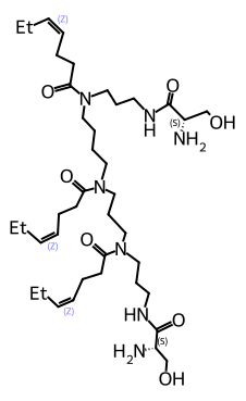 CC/C=C\CCC(=O)N(CCCCN(CCCN(CCCNC(=O)[C@@H](N)CO)C(=O)CC/C=C\CC)C(=O)CC/C=C\CC)CCCNC(=O)[C@@H](N)CO